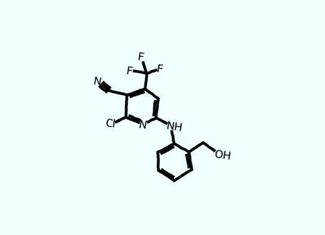 N#Cc1c(C(F)(F)F)cc(Nc2ccccc2CO)nc1Cl